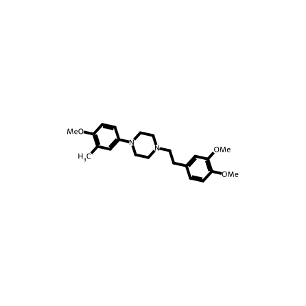 COc1ccc(N2CCN(CCc3ccc(OC)c(OC)c3)CC2)cc1C